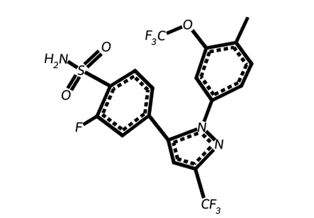 Cc1ccc(-n2nc(C(F)(F)F)cc2-c2ccc(S(N)(=O)=O)c(F)c2)cc1OC(F)(F)F